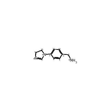 NCc1ccc(N2C=NCC2)cc1